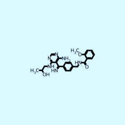 COc1ccccc1C(=O)NCc1ccc(C(=N)c2c(N)ncnc2NCC(C)O)cc1